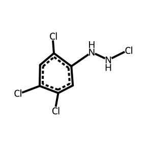 ClNNc1cc(Cl)c(Cl)cc1Cl